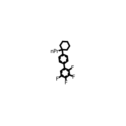 CCCC1(c2ccc(-c3cc(F)c(F)c(F)c3F)cc2)CCCCC1